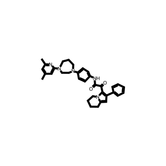 Cc1cc(C)nc(N2CCCN(c3ccc(NC(=O)C(=O)c4c(-c5ccccc5)cc5n4CCCC5)cc3)CC2)c1